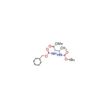 COC(=O)[C@@H](NC(=O)OCc1ccccc1)C(C)NC(=O)OC(C)(C)C